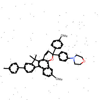 COc1ccc(C2(c3ccc(N4CCOCC4)cc3)C=Cc3c4c(c5ccc(OC)cc5c3O2)-c2ccc(-c3ccc(C)cc3)cc2C4(C)C)cc1